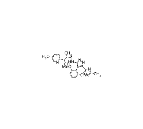 COc1cccc(OC)c1-n1c(NSC(C)C(C)c2ncc(C)cn2)nnc1-c1nc(C)cs1